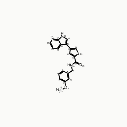 COc1cccc(CNC(=O)c2cc(-c3c[nH]c4ncccc34)cs2)c1